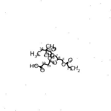 C=CC(=O)OCC(COC(=O)C(C)(C)CC)OC(=O)CCC(=O)O